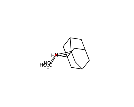 O=C(O)NC12CC3CC(=NO)C(CC(C3)C1)C2